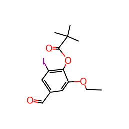 CCOc1cc(C=O)cc(I)c1OC(=O)C(C)(C)C